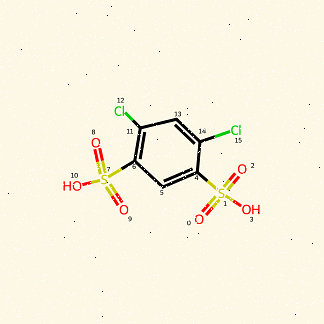 O=S(=O)(O)c1cc(S(=O)(=O)O)c(Cl)cc1Cl